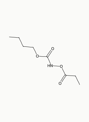 CCCCOC(=O)NOC(=O)CC